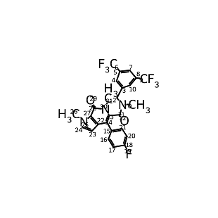 CN(Cc1cc(C(F)(F)F)cc(C(F)(F)F)c1)C(=O)c1c(-c2ccc(F)cc2)c2ccn(C)c2c(=O)n1C